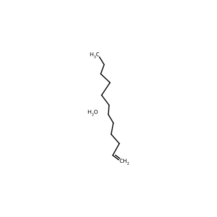 C=CCCCCCCCCCC.O